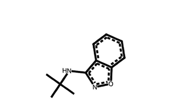 CC(C)(C)Nc1noc2ccccc12